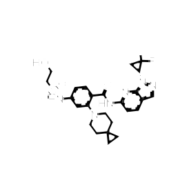 O=C(Nc1ccc2cnn([C@@H]3CC3(F)F)c2n1)c1ccc(NS(=O)(=O)CCO)cc1N1CCC2(CC1)CC2